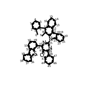 Cc1ccccc1-c1c(C)c2c(c3ccccc13)c1ccccc1n2-c1nc(-c2cccc3c2sc2ccccc23)c2oc3ccccc3c2n1